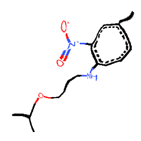 Cc1ccc(NCCOC(C)C)c([N+](=O)[O-])c1